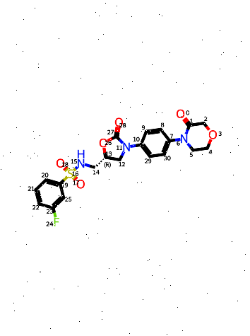 O=C1COCCN1c1ccc(N2C[C@H](CNS(=O)(=O)c3cccc(F)c3)OC2=O)cc1